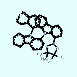 CC1(C)OB(c2cccc3c4ccccc4n(-c4cccc5c6ccccc6n(-c6cccc7ccccc67)c45)c23)OC1(C)C